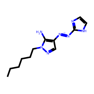 CCCCCCn1ncc(/N=N/c2ncc[nH]2)c1N